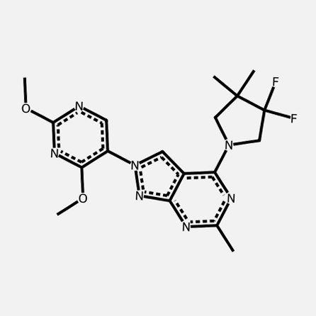 COc1ncc(-n2cc3c(N4CC(C)(C)C(F)(F)C4)nc(C)nc3n2)c(OC)n1